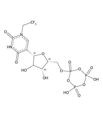 O=c1[nH]c(=O)n(CC(F)(F)F)cc1[C@@H]1O[C@H](COP2(=O)OP(=O)(O)OP(=O)(O)O2)[C@H](O)C1O